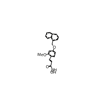 COc1cc(OCc2cccc3ccccc23)ccc1/C=C/C(=O)NO